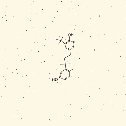 Cc1ccc(O)cc1C(C)(C)CCc1ccc(O)c(C(C)(C)C)c1